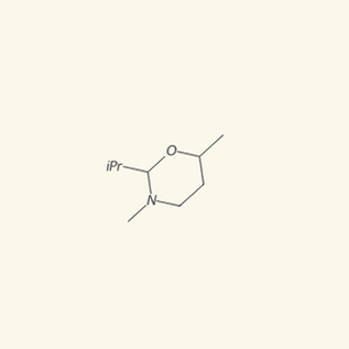 CC1CCN(C)C(C(C)C)O1